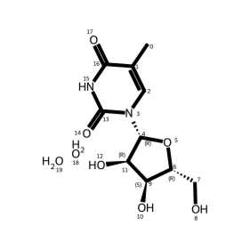 Cc1cn([C@@H]2O[C@H](CO)[C@@H](O)[C@H]2O)c(=O)[nH]c1=O.O.O